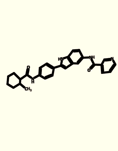 CC1CCCCC1C(=O)Nc1ccc(-c2cc3cc(NC(=O)c4cccnc4)ccc3[nH]2)cc1